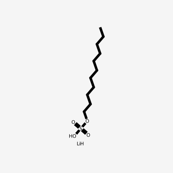 CCCCCCCCCCCOS(=O)(=O)O.[LiH]